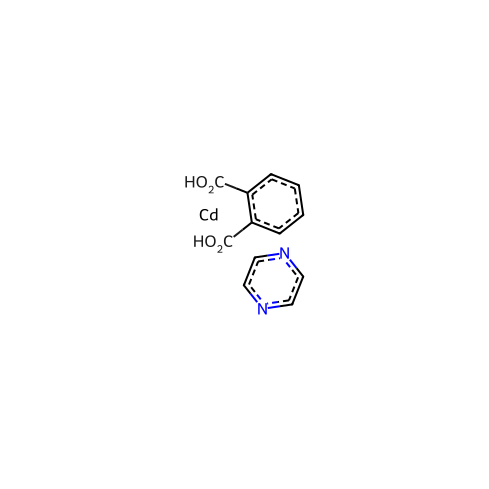 O=C(O)c1ccccc1C(=O)O.[Cd].c1cnccn1